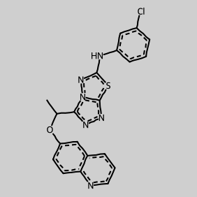 CC(Oc1ccc2ncccc2c1)c1nnc2sc(Nc3cccc(Cl)c3)nn12